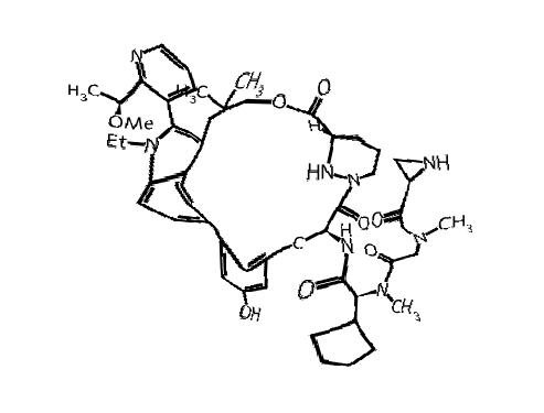 CCn1c(-c2cccnc2[C@H](C)OC)c2c3cc(ccc31)-c1cc(O)cc(c1)C[C@H](NC(=O)[C@H](C1CCCC1)N(C)C(=O)CN(C)C(=O)[C@H]1CN1)C(=O)N1CCC[C@H](N1)C(=O)OCC(C)(C)C2